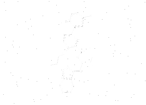 CCCOc1ccc(-c2cc(F)ccc2F)cc1C(=O)N[C@H](CO)Cc1c[nH]c2ccccc12